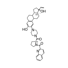 C=C[C@]1(O)CCC2C3CCc4cc(O)c(N5CCN(C(=O)[C@@H]6CCCN6C(=O)c6ccc7ccccc7n6)CC5)cc4C3CC[C@@]21C